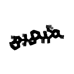 [2H]C([2H])(c1c[nH]c2ncccc12)n1ccc2c(NC(=O)Nc3cc(Cl)ccc3OC)cccc21